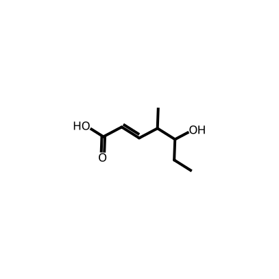 CCC(O)C(C)C=CC(=O)O